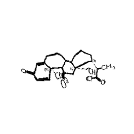 CC(C(=O)Cl)[C@H]1CCC2C3CCC4=CC(=O)C=C[C@]4(C)C3C(=O)C[C@@]21C